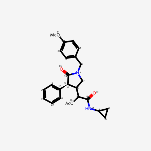 COc1ccc(CN2CC(C(OC(C)=O)C(=O)NC3CC3)[C@@H](c3ccccc3)C2=O)cc1